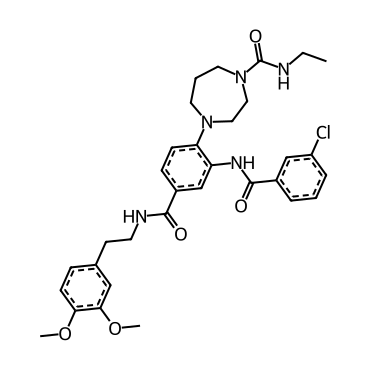 CCNC(=O)N1CCCN(c2ccc(C(=O)NCCc3ccc(OC)c(OC)c3)cc2NC(=O)c2cccc(Cl)c2)CC1